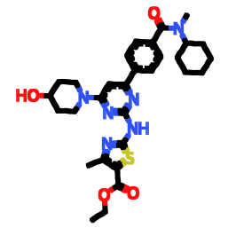 CCOC(=O)c1sc(Nc2nc(-c3ccc(C(=O)N(C)C4CCCCC4)cc3)cc(N3CCC(O)CC3)n2)nc1C